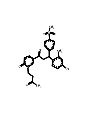 Cc1cc(Cl)ccc1C(CC(=O)c1ccc(=O)n(CCC(N)=O)c1)c1ccc(S(C)(=O)=O)cc1